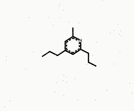 CCCc1cc(C)nc(CCC)c1